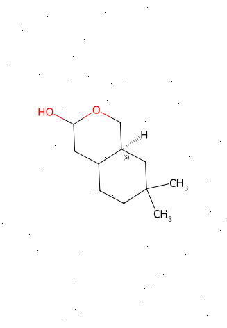 CC1(C)CCC2CC(O)OC[C@H]2C1